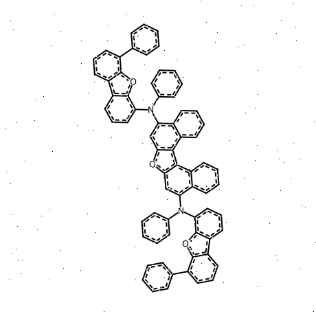 c1ccc(-c2cccc3c2oc2c(N(c4ccccc4)c4cc5oc6cc(N(c7ccccc7)c7cccc8c7oc7c(-c9ccccc9)cccc78)c7ccccc7c6c5c5ccccc45)cccc23)cc1